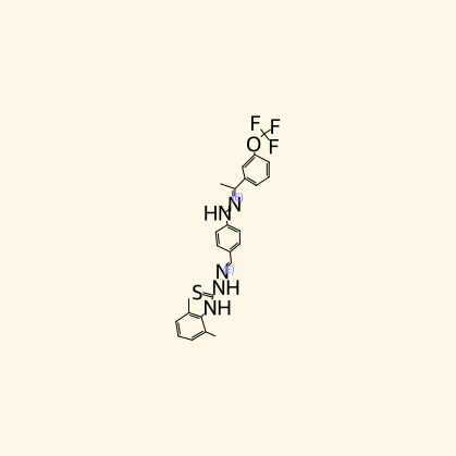 C/C(=N\Nc1ccc(/C=N/NC(=S)Nc2c(C)cccc2C)cc1)c1cccc(OC(F)(F)F)c1